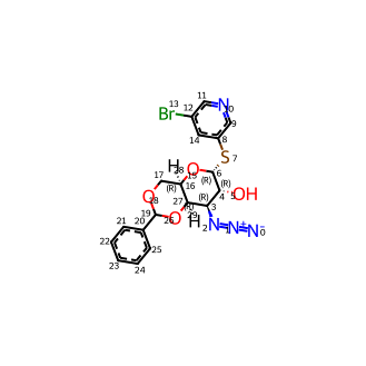 [N-]=[N+]=N[C@@H]1[C@@H](O)[C@@H](Sc2cncc(Br)c2)O[C@@H]2COC(c3ccccc3)O[C@H]12